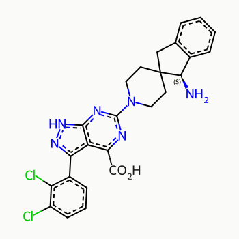 N[C@@H]1c2ccccc2CC12CCN(c1nc(C(=O)O)c3c(-c4cccc(Cl)c4Cl)n[nH]c3n1)CC2